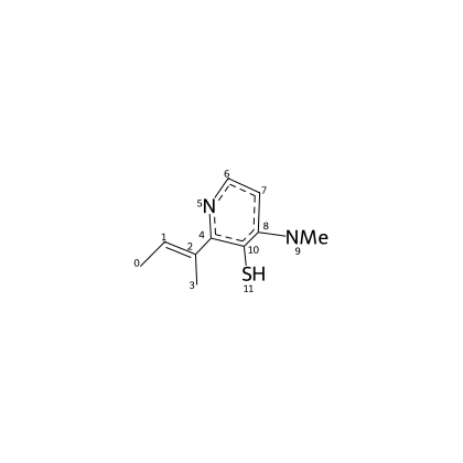 C/C=C(\C)c1nccc(NC)c1S